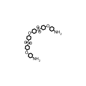 Nc1ccc(Oc2ccc(S(=O)(=O)c3ccc(Oc4ccc(S(=O)(=O)c5ccc(Oc6ccc(N)cc6)cc5)cc4)cc3)cc2)cc1